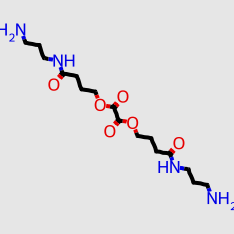 NCCCNC(=O)CCCOC(=O)C(=O)OCCCC(=O)NCCCN